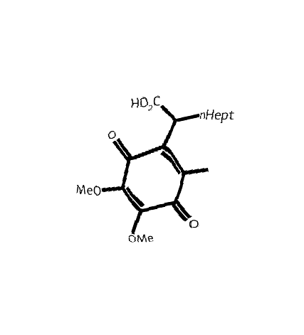 CCCCCCCC(C(=O)O)C1=C(C)C(=O)C(OC)=C(OC)C1=O